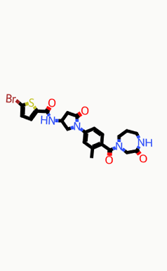 Cc1cc(N2CC(NC(=O)c3ccc(Br)s3)CC2=O)ccc1C(=O)N1CCCNC(=O)C1